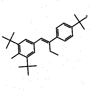 CC/C(=C\c1cc(C(C)(C)C)c(C)c(C(C)(C)C)c1)c1ccc(C(C)(C)F)cc1